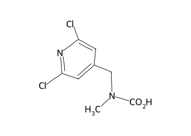 CN(Cc1cc(Cl)nc(Cl)c1)C(=O)O